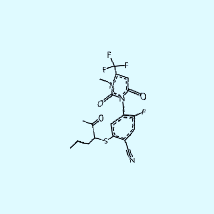 CCCC(Sc1cc(-n2c(=O)cc(C(F)(F)F)n(C)c2=O)c(F)cc1C#N)C(C)=O